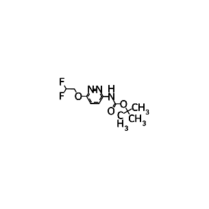 CC(C)(C)OC(=O)Nc1ccc(OCC(F)F)nn1